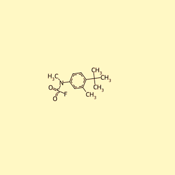 Cc1cc(N(C)S(=O)(=O)F)ccc1C(C)(C)C